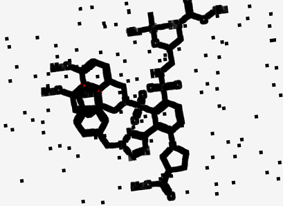 COC(=O)C1CCN(c2ccc(S(=O)(=O)NCC(CNC(=O)OC(C)(C)C)O[Si](C)(C)C(C)(C)C)c(S(=O)(=O)N(Cc3ccc(OC)cc3)Cc3ccc(OC)cc3)c2-c2nnn(Cc3ccc(OC)cc3)n2)C1